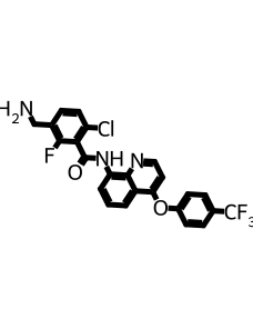 NCc1ccc(Cl)c(C(=O)Nc2cccc3c(Oc4ccc(C(F)(F)F)cc4)ccnc23)c1F